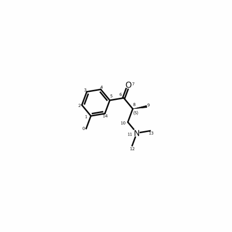 Cc1cccc(C(=O)[C@@H](C)CN(C)C)c1